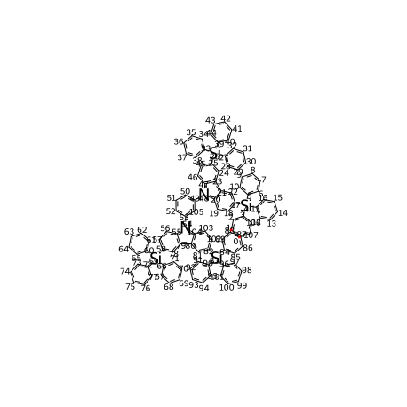 c1ccc([Si](c2ccccc2)(c2ccccc2)c2ccc3c(c2)c2cc([Si](c4ccccc4)(c4ccccc4)c4ccccc4)ccc2n3-c2cccc(-n3c4ccc([Si](c5ccccc5)(c5ccccc5)c5ccccc5)cc4c4cc([Si](c5ccccc5)(c5ccccc5)c5ccccc5)ccc43)c2)cc1